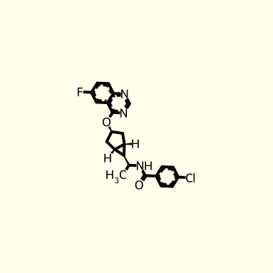 CC(NC(=O)c1ccc(Cl)cc1)[C@H]1[C@@H]2C[C@@H](Oc3ncnc4ccc(F)cc34)C[C@@H]21